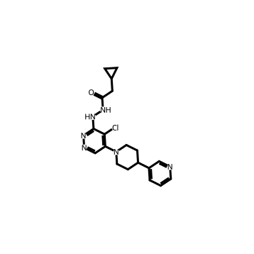 O=C(CC1CC1)NNc1nncc(N2CCC(c3cccnc3)CC2)c1Cl